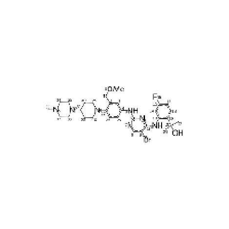 COCc1cc(Nc2ncc(Br)c(Nc3cc(F)ccc3C(C)(C)O)n2)ccc1N1CCC(N2CCN(C)CC2)CC1